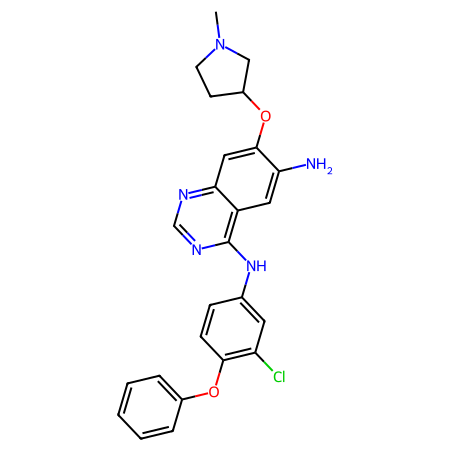 CN1CCC(Oc2cc3ncnc(Nc4ccc(Oc5ccccc5)c(Cl)c4)c3cc2N)C1